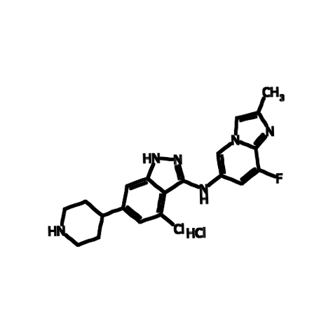 Cc1cn2cc(Nc3n[nH]c4cc(C5CCNCC5)cc(Cl)c34)cc(F)c2n1.Cl